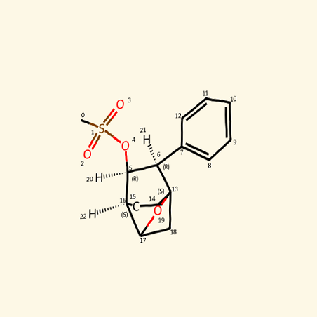 CS(=O)(=O)O[C@H]1[C@@H](c2ccccc2)[C@]23CC[C@H]1C(C2)O3